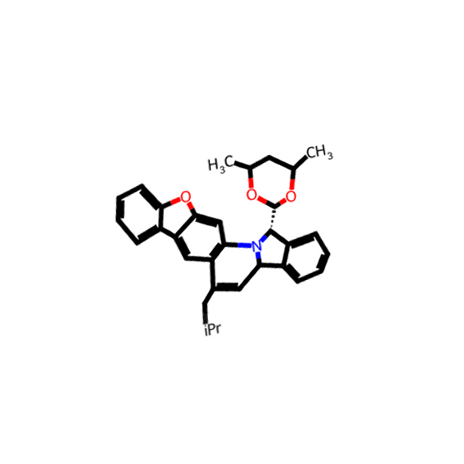 CC(C)CC1=CC2c3ccccc3[C@@H](C3OC(C)CC(C)O3)N2c2cc3oc4ccccc4c3cc21